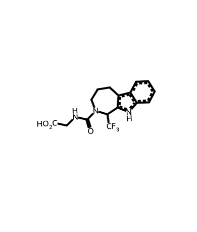 O=C(O)CNC(=O)N1CCCc2c([nH]c3ccccc23)C1C(F)(F)F